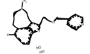 CN1CCc2c(Cl)ccc3oc(COCc4ccncc4)c(c23)C1.Cl.Cl